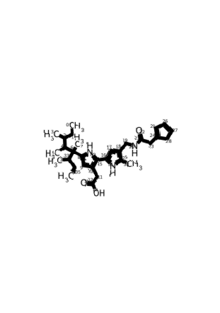 CCC(C)C(C)C(C)(c1cc(CC(=O)O)c(-c2cc(CNC(=O)CC3=CC=CC3)c(C)[nH]2)[nH]1)C(C)CC